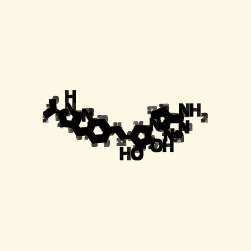 CC(C)[C@@H]1Cc2cc3ccc(CC[C@H]4C[C@@H](n5ccc6c(N)ncnc65)[C@H](O)[C@@H]4O)cc3nc2N1